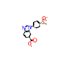 COC(=O)c1ccc2ncn(-c3ccc([S+](C)[O-])cc3)c2c1